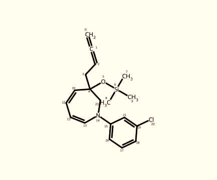 C=C=CCC1(O[Si](C)(C)C)C=CC=CN(c2cccc(Cl)c2)C1